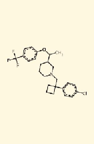 CC(Oc1ccc(C(F)(F)F)cc1)C1CCCN(CC2(c3ccc(Cl)cc3)CCC2)C1